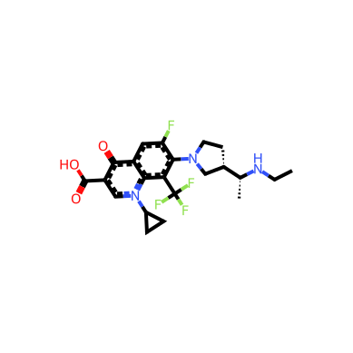 CCN[C@H](C)[C@H]1CCN(c2c(F)cc3c(=O)c(C(=O)O)cn(C4CC4)c3c2C(F)(F)F)C1